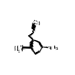 C#CCc1cc(N)ccc1N